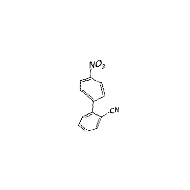 N#Cc1ccccc1-c1ccc([N+](=O)[O-])cc1